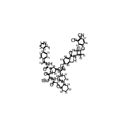 Cc1ncsc1-c1ccc([C@H](C)NC(=O)[C@@H]2C[C@@H](O)CN2C(=O)[C@@H](NC(=O)CO[C@@H]2CCCC[C@H]2N2CCN(CCOc3ccc(C(=O)NC4C(C)(C)C(Oc5ccc(C#N)c(Cl)c5)C4(C)C)cc3)CC2)C(C)(C)C)cc1